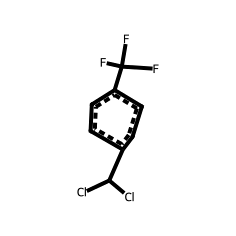 FC(F)(F)c1ccc(C(Cl)Cl)cc1